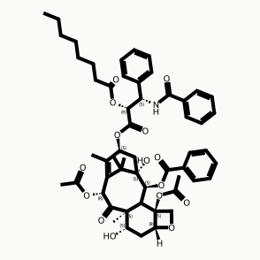 CCCCCCCC(=O)O[C@@H](C(=O)O[C@H]1C[C@@]2(O)[C@@H](OC(=O)c3ccccc3)C3[C@](C)(C(=O)[C@H](OC(C)=O)C(=C1C)C2(C)C)[C@@H](O)C[C@H]1OC[C@@]31OC(C)=O)[C@@H](NC(=O)c1ccccc1)c1ccccc1